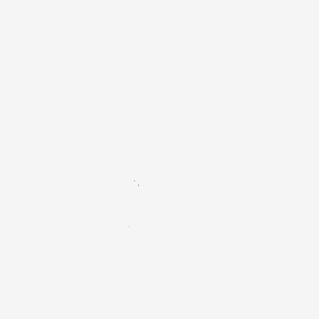 CC1(c2ccc(Cl)cc2Cl)CO[C]=N1